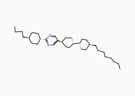 CCCCCCCC[C@H]1CC[C@H]([C@H]2CC[C@H](c3cnc([C@H]4CC[C@H](CCCC)CC4)nc3)CC2)CC1